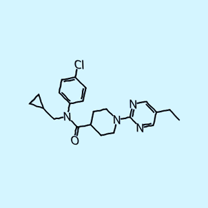 CCc1cnc(N2CCC(C(=O)N(CC3CC3)c3ccc(Cl)cc3)CC2)nc1